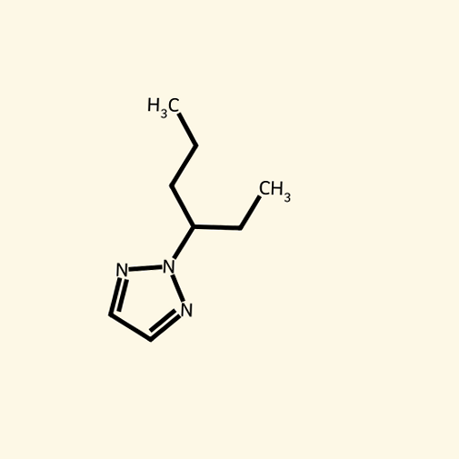 CCCC(CC)n1nccn1